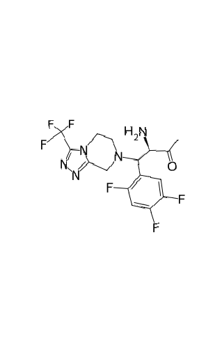 CC(=O)[C@H](N)C(c1cc(F)c(F)cc1F)N1CCn2c(nnc2C(F)(F)F)C1